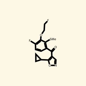 CSc1c(C(=O)c2cnoc2C2CC2)ccc(F)c1OCCF